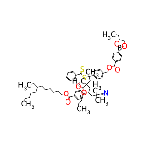 CCCCCC(CC)CCCCCCOC(=O)c1ccc(C(CC(C)(C)C#N)CC(C)(CC(C)(SC(=S)c2ccccc2)c2ccc(COC(=O)c3ccc(B4OCC(CC)O4)cc3)cc2)C(=O)OCCCC)cc1